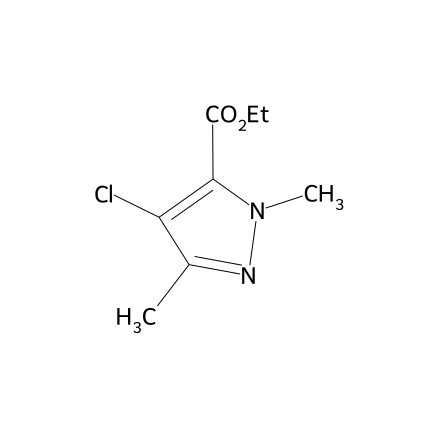 CCOC(=O)c1c(Cl)c(C)nn1C